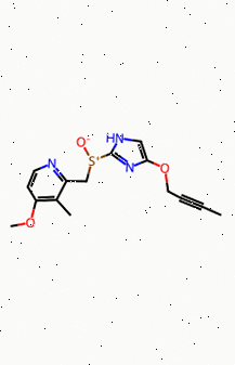 CC#CCOc1c[nH]c([S+]([O-])Cc2nccc(OC)c2C)n1